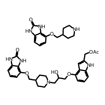 CC(=O)OCc1cc2c(OCC(O)CN3CCC(COc4cccc5[nH]c(=O)[nH]c45)CC3)cccc2[nH]1.O=c1[nH]c2cccc(OCC3CCNCC3)c2[nH]1